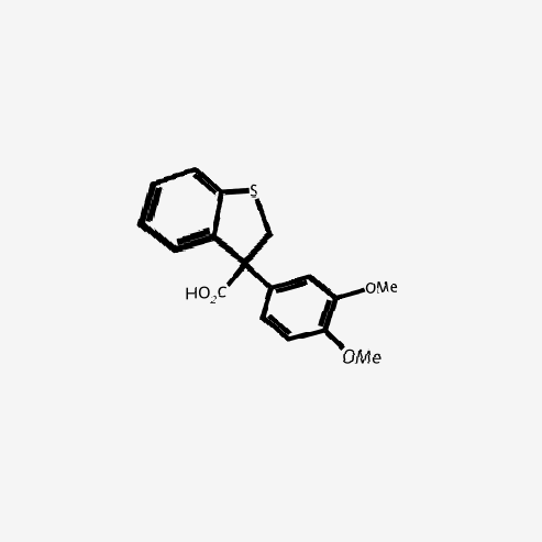 COc1ccc(C2(C(=O)O)CSc3ccccc32)cc1OC